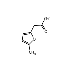 CCCC(=O)Cc1ccc(C)o1